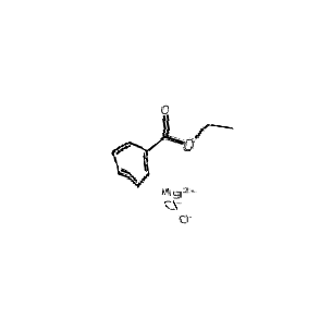 CCOC(=O)c1ccccc1.[Cl-].[Cl-].[Mg+2]